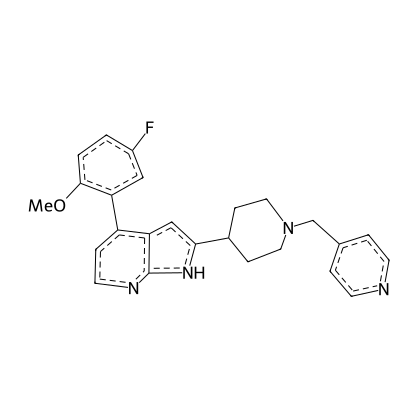 COc1ccc(F)cc1-c1ccnc2[nH]c(C3CCN(Cc4ccncc4)CC3)cc12